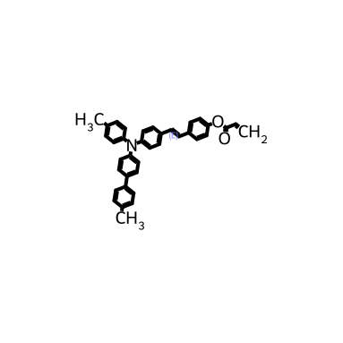 C=CC(=O)Oc1ccc(/C=C/c2ccc(N(c3ccc(C)cc3)c3ccc(-c4ccc(C)cc4)cc3)cc2)cc1